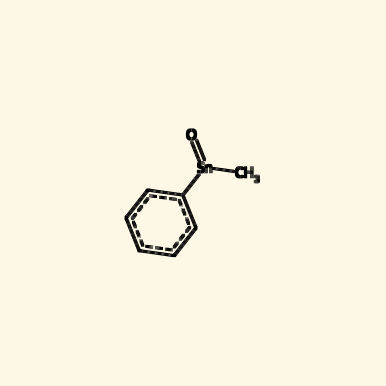 [CH3][Sn](=[O])[c]1ccccc1